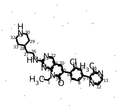 CCn1c(=O)c(-c2ccc(-c3nccnc3C)cc2Cl)cc2cnc(NCCC3CCNCC3)nc21